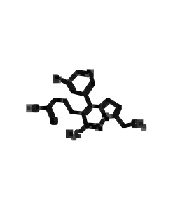 CCc1ccc2c(-c3cncc(Br)c3)c(CCCC(=O)O)c(C)nn12